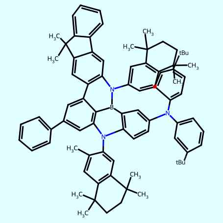 Cc1cc2c(cc1N1c3ccc(N(c4ccc(C(C)(C)C)cc4)c4cccc(C(C)(C)C)c4)cc3B3c4c(cc(-c5ccccc5)cc41)-c1cc4c(cc1N3c1ccc3c(c1)C(C)(C)CCC3(C)C)-c1ccccc1C4(C)C)C(C)(C)CCC2(C)C